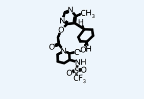 Cc1ncnc2c1[C@H]1CC[C@H](CC1)OCC1C(NS(=O)(=O)C(F)(F)F)CCCN1C(=O)CO2